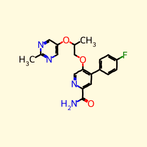 Cc1ncc(OC(C)COc2cnc(C(N)=O)cc2-c2ccc(F)cc2)cn1